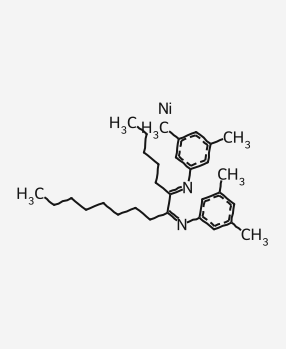 CCCCCCCCC(=Nc1cc(C)cc(C)c1)C(CCCCC)=Nc1cc(C)cc(C)c1.[Ni]